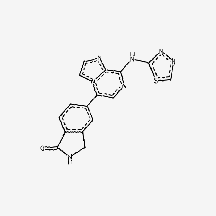 O=C1NCc2cc(-c3cnc(Nc4nncs4)c4nccn34)ccc21